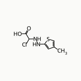 Cc1csc(NNC(Cl)C(=O)O)c1